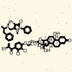 C=C(CC)C(=O)c1ccc(OCC(=O)O)c(Cl)c1Cl.CC(C)c1c(CN(C)C(C)Cc2ccccc2)n(C)n(-c2ccccc2)c1=O.CCC[C@@H]1O[C@@H]2C[C@H]3[C@@H]4CCC5=CC(=O)C=C[C@]5(C)[C@H]4[C@@H](O)C[C@]3(C)[C@]2(C(=O)CO)O1